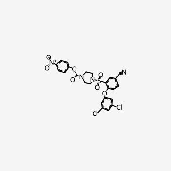 N#Cc1ccc(Oc2cc(Cl)cc(Cl)c2)c(S(=O)(=O)N2CCN(C(=O)Oc3ccc([N+](=O)[O-])cc3)CC2)c1